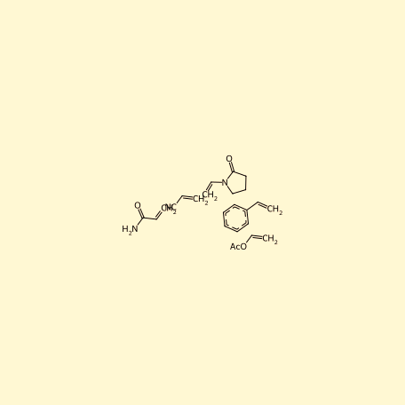 C=CC#N.C=CC(N)=O.C=CN1CCCC1=O.C=COC(C)=O.C=Cc1ccccc1